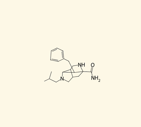 CC(C)CN1CC2CC3(C(N)=O)NCC2C1C3Cc1ccccc1